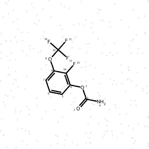 NC(=O)Oc1cccc(OC(F)(F)F)c1F